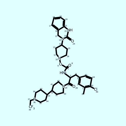 Cc1cc(CC(NC(=O)ON2CCC(N3Cc4ccccc4NC3=O)CC2)C(=O)N2CCC(C3CCN(CC(F)(F)F)CC3)CC2)ccc1Cl